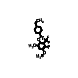 C=CC1CCC(COc2c(C)cc(OC)c(F)c2C(F)(F)F)CC1